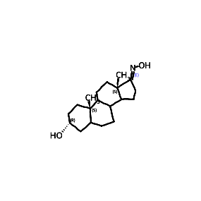 C[C@]12CC[C@@H](O)CC1CCC1C2CC[C@]2(C)/C(=N/O)CCC12